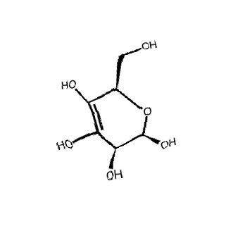 OC[C@H]1O[C@@H](O)[C@@H](O)C(O)=C1O